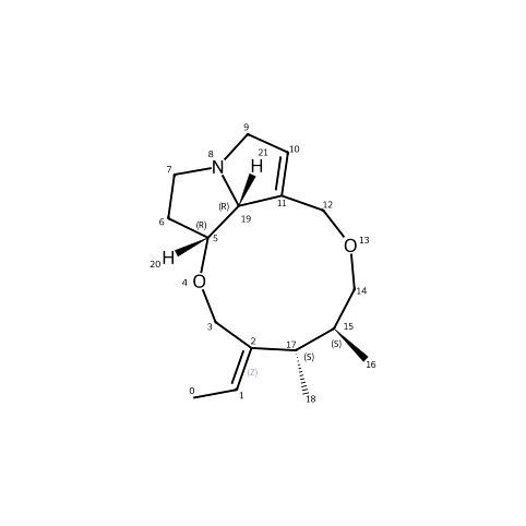 C/C=C1\CO[C@@H]2CCN3CC=C(COC[C@@H](C)[C@@H]1C)[C@H]23